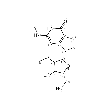 CNc1nc2c(ncn2[C@@H]2O[C@H](CO)C(O)C2OC)c(=O)[nH]1